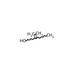 CC(C)=O.CCCCCCCCCCCCCCO